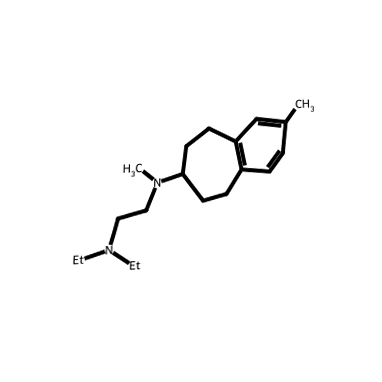 CCN(CC)CCN(C)C1CCc2ccc(C)cc2CC1